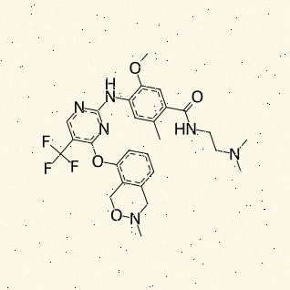 COc1cc(C(=O)NCCN(C)C)c(C)cc1Nc1ncc(C(F)(F)F)c(Oc2cccc3c2CON(C)C3)n1